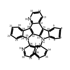 c1ccc(-n2c3ccccc3c3c4cccnc4c4c5ccccc5n(-c5ncccn5)c4c32)cc1